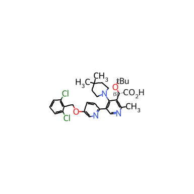 Cc1ncc(-c2ccc(OCc3c(Cl)cccc3Cl)cn2)c(N2CCC(C)(C)CC2)c1[C@H](OC(C)(C)C)C(=O)O